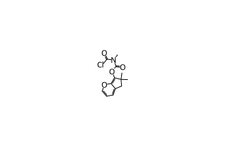 CN(C(=O)Cl)C(=O)OC1=C2OC=CC=C2CC1(C)C